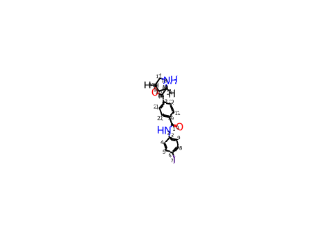 O=C(Nc1ccc(I)cc1)c1ccc([C@H]2O[C@@H]3CN[C@H]2C3)cc1